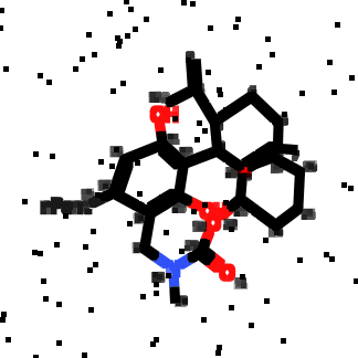 C=C(C)C1CCC(C)=CC1c1c(O)cc(CCCCC)c(CN(C)C(=O)OC2CCCCC2)c1O